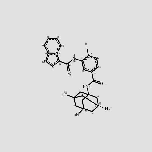 O=C(NC12C[C@@H]3C[C@@H](CC(O)(C3)C1)C2)c1ccc(F)c(NC(=O)c2cnc3ccccn23)c1